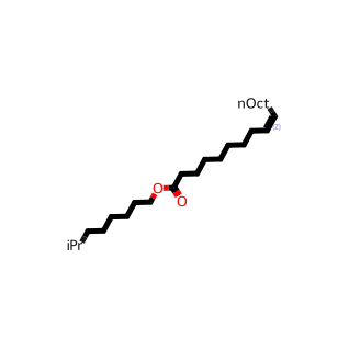 CCCCCCCC/C=C\CCCCCCCC(=O)OCCCCCCC(C)C